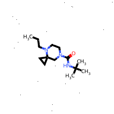 CCCN1CCN(C(=O)NC(C)(C)C)CC12CC2